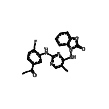 CC(=O)c1ccc(F)c(Nc2ncc(C)c(Nn3c(=O)oc4ccccc43)n2)c1